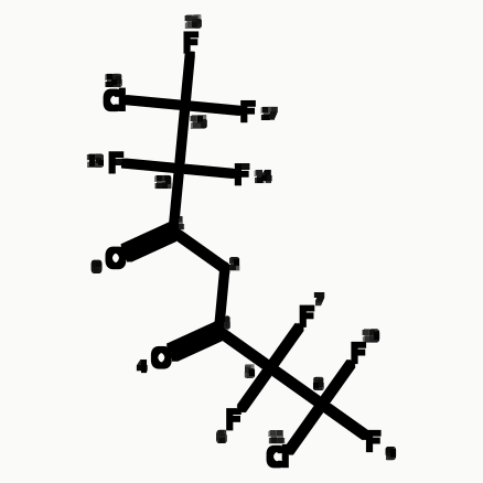 O=C(CC(=O)C(F)(F)C(F)(F)Cl)C(F)(F)C(F)(F)Cl